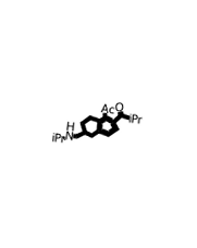 CC(=O)c1c(C(=O)C(C)C)ccc2c1CCC(CNC(C)C)C2